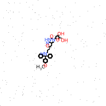 COc1ccc(C(NCCC[C@@H]2CC3=CN([C@H]4C[C@H](O)[C@@H](CO)O4)C(=O)NC3=NO2)(c2ccccc2)c2ccccc2)cc1